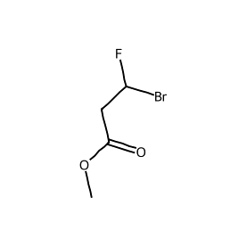 COC(=O)CC(F)Br